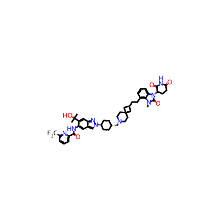 Cn1c(=O)n(C2CCC(=O)NC2=O)c2cccc(CCC3CC4(CCN(C[C@H]5CC[C@H](n6cc7cc(NC(=O)c8cccc(C(F)(F)F)n8)c(C(C)(C)O)cc7n6)CC5)CC4)C3)c21